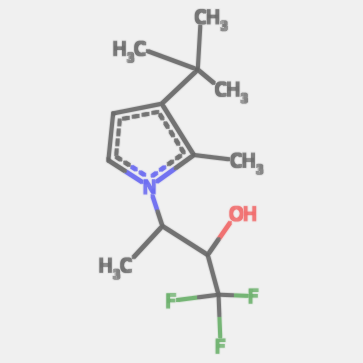 Cc1c(C(C)(C)C)ccn1C(C)C(O)C(F)(F)F